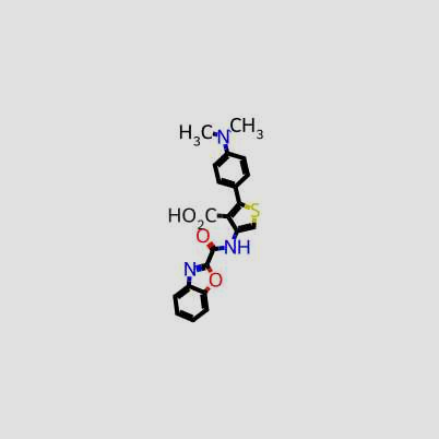 CN(C)c1ccc(-c2scc(NC(=O)c3nc4ccccc4o3)c2C(=O)O)cc1